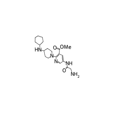 COC(=O)c1cc(NC(=O)CN)cnc1N1CCC(NC2CCCCC2)CC1